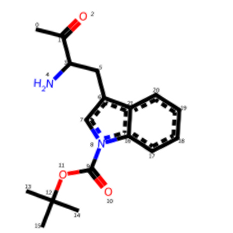 CC(=O)C(N)Cc1cn(C(=O)OC(C)(C)C)c2ccccc12